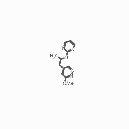 COc1cc(CC(C)Oc2ncccn2)cnn1